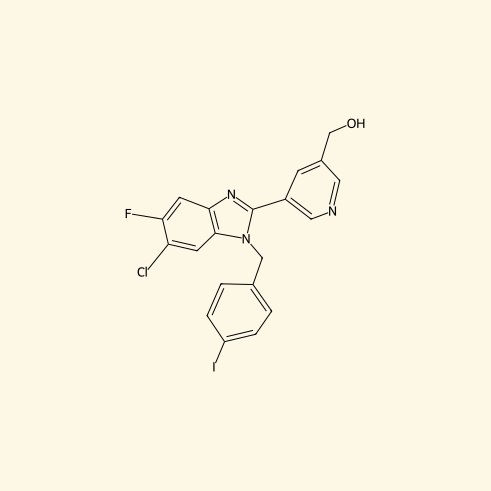 OCc1cncc(-c2nc3cc(F)c(Cl)cc3n2Cc2ccc(I)cc2)c1